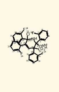 COC1(c2ccccc2F)NC(Cl)(c2ccccc2F)C(c2ccccc2F)=CC1(C(=O)O)c1ccccc1F